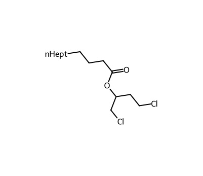 CCCCCCCCCCC(=O)OC(CCl)CCCl